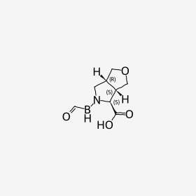 O=CBN1C[C@@H]2COC[C@@H]2[C@H]1C(=O)O